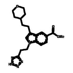 COC(=O)c1ccc2c(c1)c(CCC1CCOCC1)cn2CCc1nn[nH]n1